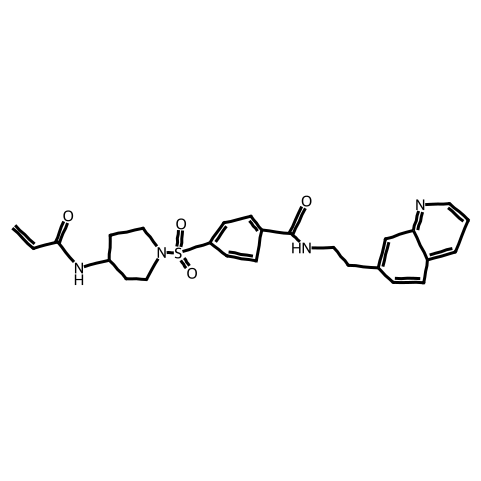 C=CC(=O)NC1CCN(S(=O)(=O)c2ccc(C(=O)NCCc3ccc4cccnc4c3)cc2)CC1